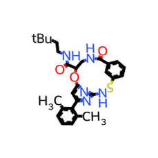 Cc1cccc(C)c1-c1cc2nc(n1)NSc1cccc(c1)C(=O)NCC(C(=O)NCCC(C)(C)C)O2